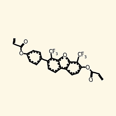 C=CC(=O)Oc1ccc(-c2ccc3c(oc4c(C(F)(F)F)c(OC(=O)C=C)ccc43)c2C(F)(F)F)cc1